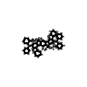 Cc1ccccc1N(c1ccccc1)c1cc2c(c3c1oc1ccccc13)-c1cc3c(cc1C2(C)C)-c1c(cc(N(c2ccccc2)c2ccccc2C)c2c1oc1ccccc12)C3(C)C